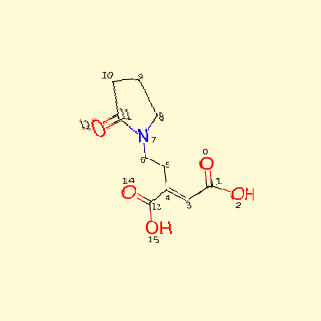 O=C(O)/C=C(\CCN1CCCC1=O)C(=O)O